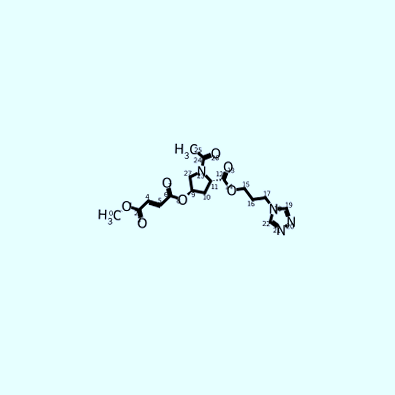 COC(=O)/C=C/C(=O)O[C@@H]1C[C@@H](C(=O)OCCCn2cnnc2)N(C(C)=O)C1